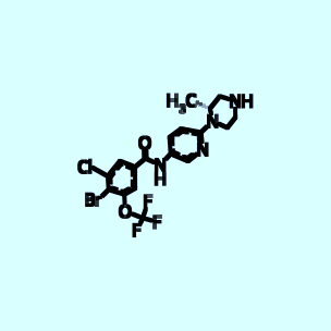 C[C@@H]1CNCCN1c1ccc(NC(=O)c2cc(Cl)c(Br)c(OC(F)(F)F)c2)cn1